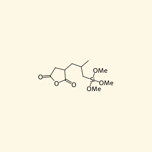 CO[Si](CC(C)CC1CC(=O)OC1=O)(OC)OC